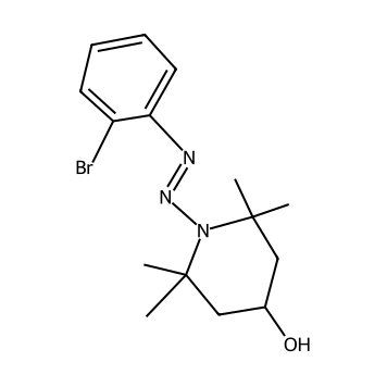 CC1(C)CC(O)CC(C)(C)N1N=Nc1ccccc1Br